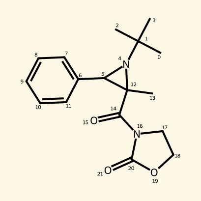 CC(C)(C)N1C(c2ccccc2)C1(C)C(=O)N1CCOC1=O